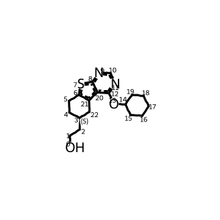 OCC[C@H]1CCc2sc3ncnc(OC4CCCCC4)c3c2C1